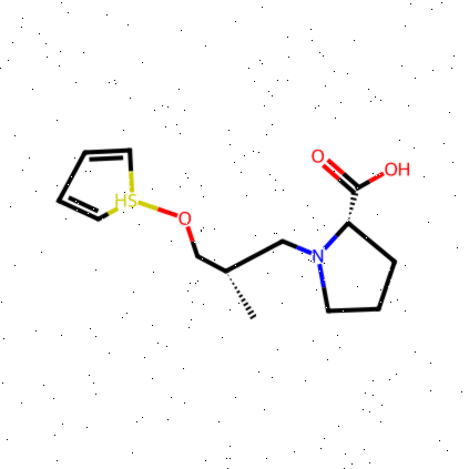 C[C@H](CO[SH]1C=CC=C1)CN1CCC[C@H]1C(=O)O